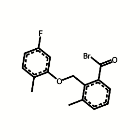 Cc1ccc(F)cc1OCc1c(C)cccc1C(=O)Br